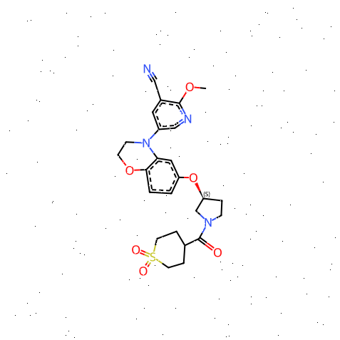 COc1ncc(N2CCOc3ccc(O[C@H]4CCN(C(=O)C5CCS(=O)(=O)CC5)C4)cc32)cc1C#N